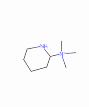 C[N+](C)(C)C1CC[CH]CN1